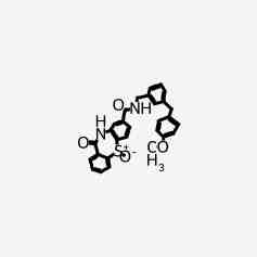 COc1ccc(Cc2cccc(CNC(=O)c3ccc4c(c3)NC(=O)c3ccccc3[S+]4[O-])c2)cc1